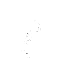 C=C(CCNC(=O)CO)NC(=O)C(C)[C@H]1[C@@H]2C[C@@H](Oc3ccnc4ccc(F)cc34)C[C@@H]21